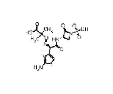 CC(C)(ON=C(C(=O)N[C@H]1CN(S(=O)(=O)O)C1=O)c1csc(N)n1)C(=O)O